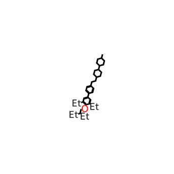 CCc1cc(-c2ccc(CCC3CCC(C4CCC(C)CC4)CC3)cc2)cc(CC)c1OCC(CC)CC